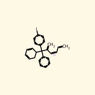 C=C/C=C\C(=C)C(c1ccccc1)(c1ccc(I)cc1)C1C=CC=CC1